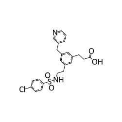 O=C(O)CCc1cc(CCNS(=O)(=O)c2ccc(Cl)cc2)cc(Cc2cccnc2)c1